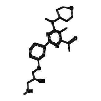 CNCC(O)COc1cccc(-c2nc(C(C)=O)c(C)c(N(C)C3CCOCC3)n2)c1